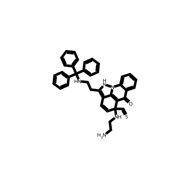 NCCNC1(C=S)C=Cc2c(CCNC(c3ccccc3)(c3ccccc3)c3ccccc3)[nH]n3c2c1c(=O)c1ccccc13